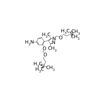 Cc1nn(COCC[Si](C)(C)C)c(C)c1-c1ccc(N)cc1OCOCC[Si](C)(C)C